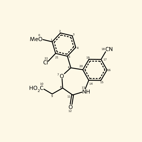 COc1cccc(C2OC(CC(=O)O)C(=O)Nc3ccc(C#N)cc32)c1Cl